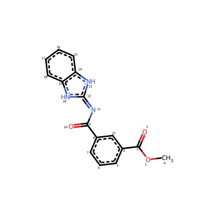 COC(=O)c1cccc(C(=O)N=c2[nH]c3ccccc3[nH]2)c1